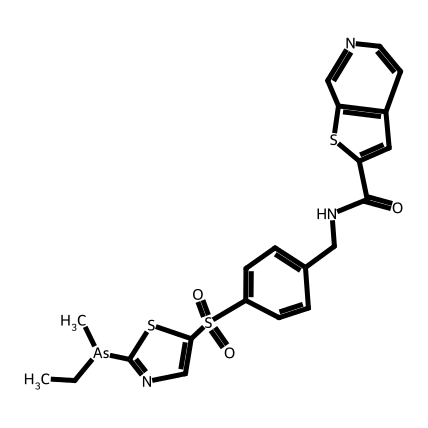 CC[As](C)c1ncc(S(=O)(=O)c2ccc(CNC(=O)c3cc4ccncc4s3)cc2)s1